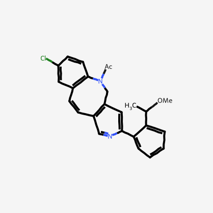 COC(C)c1ccccc1-c1cc2c(cn1)C=Cc1cc(Cl)ccc1N(C(C)=O)C2